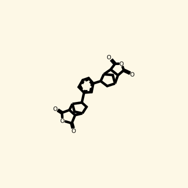 O=C1OC(=O)C2C3CC(CC3c3cccc(C4CC5CC4C4C(=O)OC(=O)C54)c3)C12